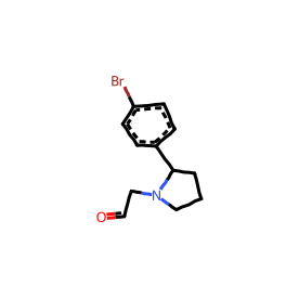 O=CCN1CCCC1c1ccc(Br)cc1